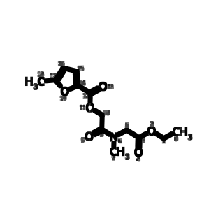 CCOC(=O)CN(C)C(=O)COC(=O)c1ccc(C)o1